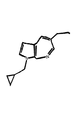 CCc1cnc2c(ccn2CC2CC2)c1